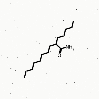 CCCCCCCCC(CCCCC)C(N)=O